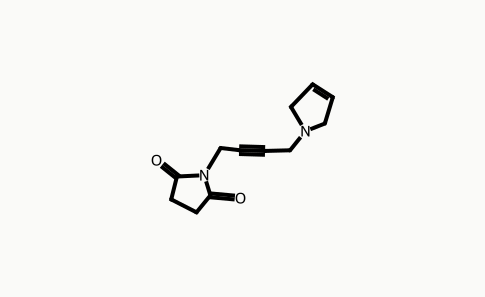 O=C1CCC(=O)N1CC#CCN1CC=CC1